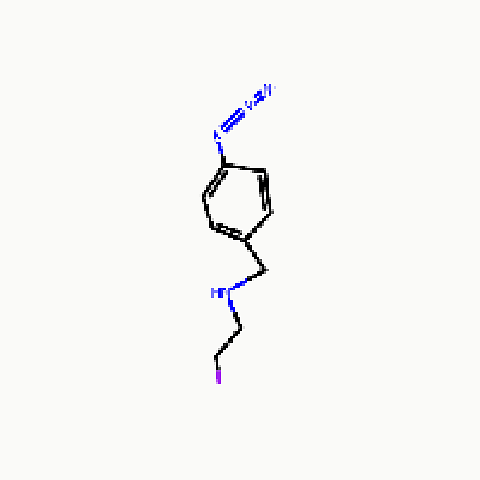 [N-]=[N+]=Nc1ccc(CNCCI)cc1